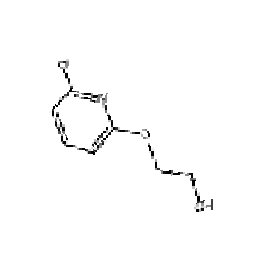 OCCOc1cccc(Cl)n1